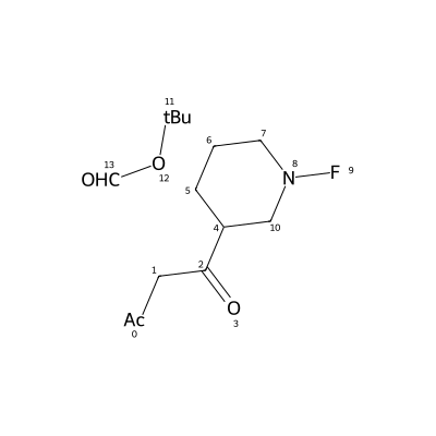 CC(=O)CC(=O)C1CCCN(F)C1.CC(C)(C)OC=O